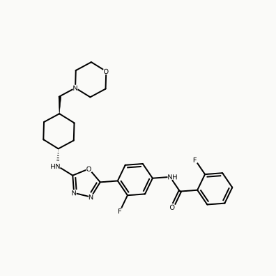 O=C(Nc1ccc(-c2nnc(N[C@H]3CC[C@H](CN4CCOCC4)CC3)o2)c(F)c1)c1ccccc1F